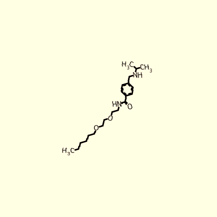 CCCCCCOCCOCCNC(=O)c1ccc(CNC(C)C)cc1